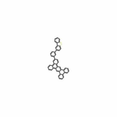 c1cc(-c2ccc3sc4ccccc4c3c2)cc(-c2ccc3c(c2)c2ccccc2c2cc4c5ccccc5c5ccccc5c4cc32)c1